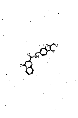 O=Cc1[nH]c2cc(CNC(=O)c3cc(=O)n4ccccc4n3)ccc2c1F